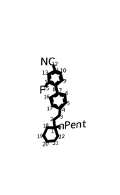 CCCCCC1(CCc2ccc(-c3ccc(C#N)cc3F)cc2)CCCCC1